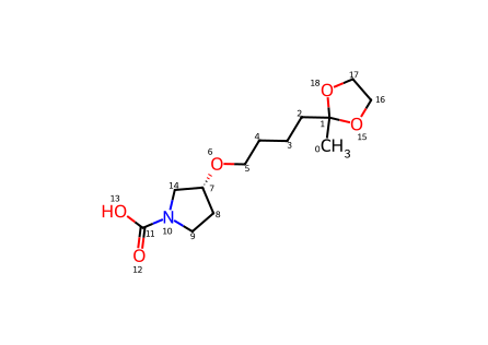 CC1(CCCCO[C@@H]2CCN(C(=O)O)C2)OCCO1